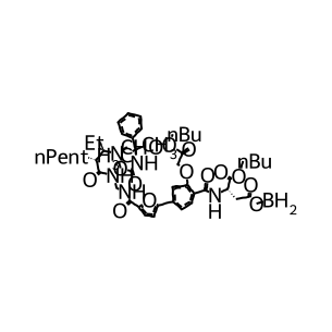 BOC(=O)C[C@H](NC(=O)c1ccc(-c2ccc(C(=O)NCNC(=O)[C@H](CCCCC)[C@@H](CC)N(C=O)OC(=O)NC(C)(C)c3ccccc3)o2)cc1OCC(=O)OCCCC)C(=O)OCCCC